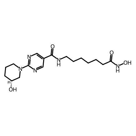 O=C(CCCCCCNC(=O)c1cnc(N2CCC[C@@H](O)C2)nc1)NO